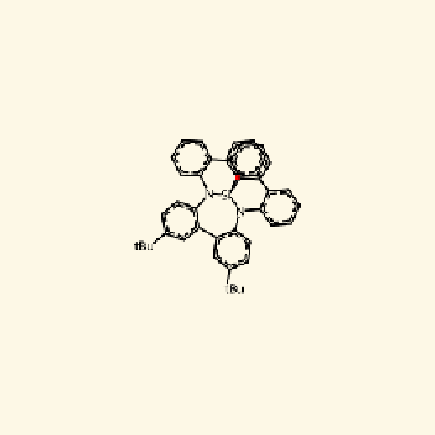 CC(C)(C)c1ccc2c(c1)-c1cc(C(C)(C)C)ccc1N1c3ccccc3-c3ccccc3[Si]13c1ccccc1-c1ccccc1N23